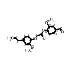 C=CCc1ccc(OCC(=O)Oc2ccc(C=O)cc2OC)c(OC)c1